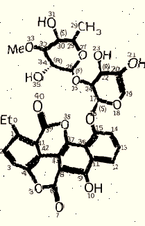 CCc1ccc2oc(=O)c3c(O)c4cccc(O[C@@H]5OC=C(O)[C@H](O)C5O[C@H]5OC(C)[C@H](O)C(OC)[C@H]5O)c4c4oc(=O)c1c2c34